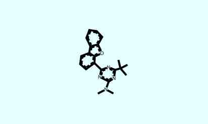 CN(C)c1nc(-c2cccc3c2oc2ccccc23)nc(C(C)(C)C)n1